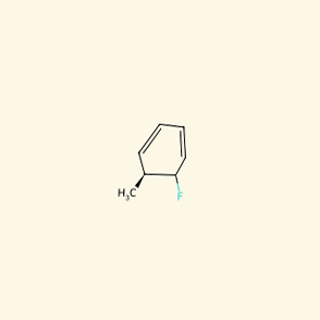 C[C@H]1C=CC=CC1F